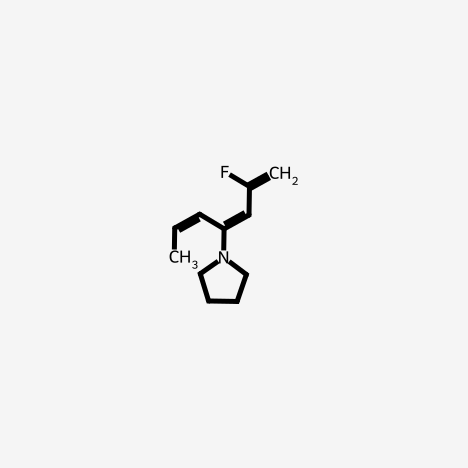 C=C(F)/C=C(\C=C/C)N1CCCC1